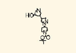 CC(C)(C)OC(=O)N1CCC(n2cc(-c3cncc(O)c3)cn2)CC1